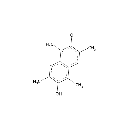 Cc1cc2c(C)c(O)c(C)cc2c(C)c1O